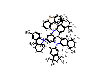 Cc1cc2c(cc1N1c3cc4c(cc3B3c5cc6c(cc5N(c5cccc7sc8ccccc8c57)c5cc(N7c8ccc(C(C)(C)C)cc8C8(C)CCCCC78C)cc1c53)C(C)(C)CCC6(C)C)C(C)(C)CCC4(C)C)C(C)(C)CC2(C)C